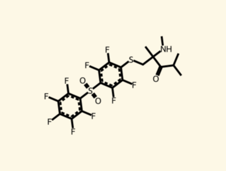 CNC(C)(CSc1c(F)c(F)c(S(=O)(=O)c2c(F)c(F)c(F)c(F)c2F)c(F)c1F)C(=O)C(C)C